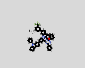 Cc1cc(-c2ccc3c4ccccc4n(-c4ccc(-c5ccc6c7ccccc7n(-c7ccccc7)c6c5)cc4-c4nc(-c5ccccc5)nc(-c5ccccc5)n4)c3c2)cc(C(F)(F)F)c1